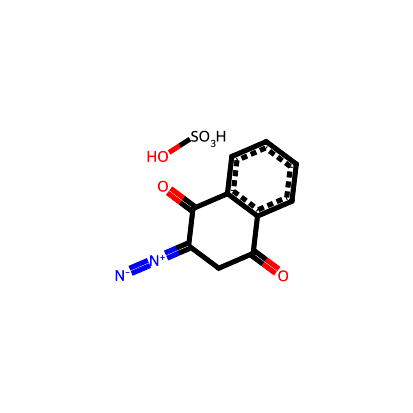 O=S(=O)(O)O.[N-]=[N+]=C1CC(=O)c2ccccc2C1=O